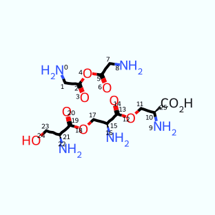 NCC(=O)OC(=O)CN.N[C@@H](COC(=O)[C@@H](N)COC(=O)[C@@H](N)CO)C(=O)O